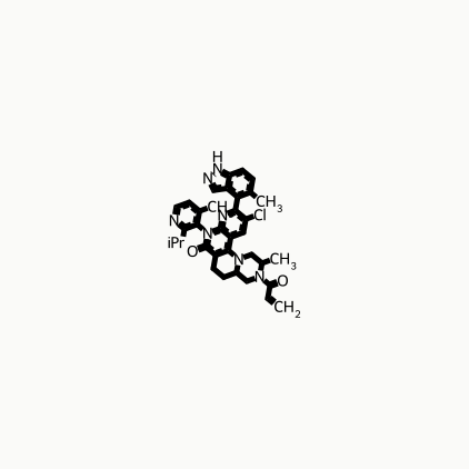 C=CC(=O)N1CC2CCc3c(c4cc(Cl)c(-c5c(C)ccc6[nH]ncc56)nc4n(-c4c(C)ccnc4C(C)C)c3=O)N2CC1C